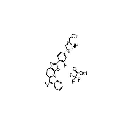 O=C(O)C(F)(F)F.OC[C@@H]1C[C@@H](c2ccc(-c3nc4ccc(C5(c6ccccc6)CC5)nc4s3)c(F)c2)CN1